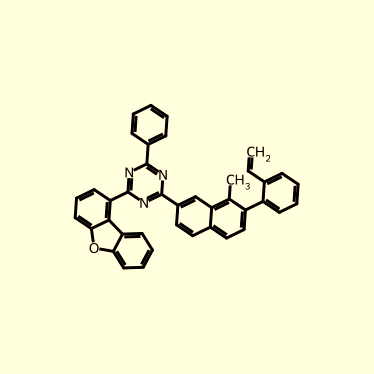 C=Cc1ccccc1-c1ccc2ccc(-c3nc(-c4ccccc4)nc(-c4cccc5oc6ccccc6c45)n3)cc2c1C